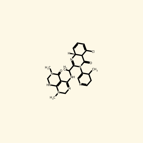 CC1CC=NC=C1N1C(=O)C2C(Cl)=CC=C[C@H]2N=C1C(C)NC1=NCN(C)C2=C1C(=O)N(C)CN2